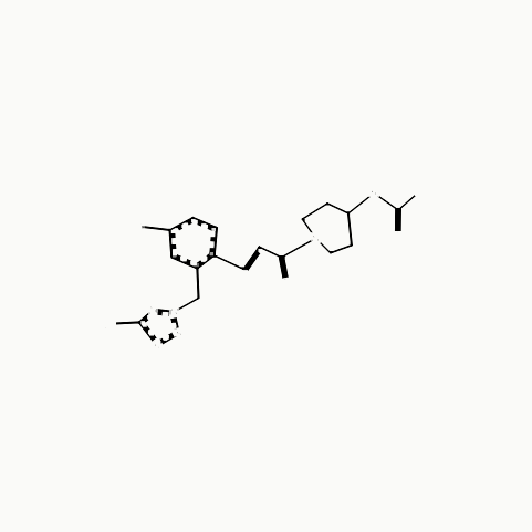 CC(=O)NC1CCN(C(=O)C=Cc2ccc(Cl)cc2Cn2nnc(C)n2)CC1